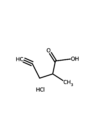 C#CCC(C)C(=O)O.Cl